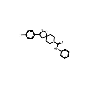 O=C(Nc1ccccc1)N1CCC2(CC1)CC(c1ccc(Cl)cc1)=NO2